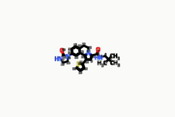 CC(C)(C)CNC(=O)c1cc(-c2cccs2)c2n1CCc1ccc(N3CCNC3=O)cc1-2